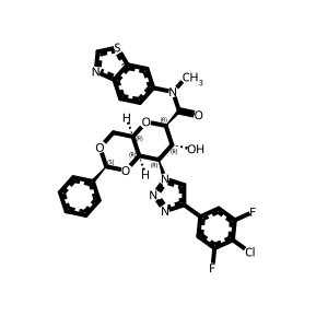 CN(C(=O)[C@@H]1O[C@@H]2CO[C@H](c3ccccc3)O[C@@H]2[C@H](n2cc(-c3cc(F)c(Cl)c(F)c3)nn2)[C@H]1O)c1ccc2ncsc2c1